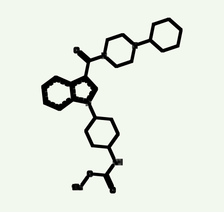 CC(C)(C)OC(=O)NC1CCC(n2cc(C(=O)N3CCN(C4CCCCC4)CC3)c3ccccc32)CC1